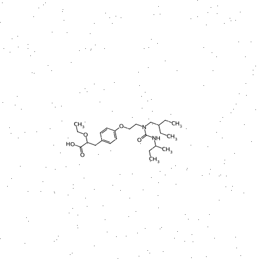 CCOC(Cc1ccc(OCCN(CC(CC)CC)C(=O)NC(C)CC)cc1)C(=O)O